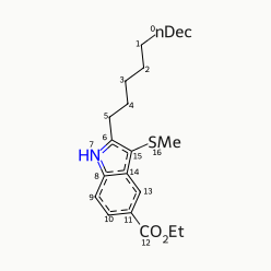 CCCCCCCCCCCCCCCc1[nH]c2ccc(C(=O)OCC)cc2c1SC